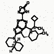 C[C@@H](Nc1nc(-c2noc(=O)[nH]2)nc2nc(N3CCC[C@H]4CCCC[C@@H]43)n(C[C@H]3CC[C@H](C)CC3)c12)C1CCC1